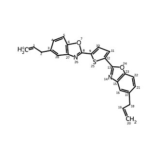 C=CCc1ccc2oc(-c3ccc(-c4nc5cc(CC=C)ccc5o4)s3)nc2c1